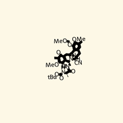 COCOc1c(OC)c(C)cc2c1C1C3CC4=C(C(=O)C(OC)=C(C)C4=O)[C@H](CNC(=O)[C@H](C)NC(=O)OC(C)(C)C)N3[C@@H](C#N)[C@@H](C2)N1C